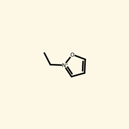 CC[n+]1ccco1